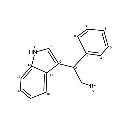 BrCC(c1ccccc1)c1c[nH]c2ccccc12